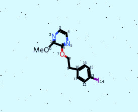 COc1nccnc1OCCc1ccc(I)cc1